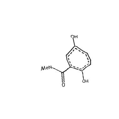 CNC(=O)c1cc(O)ccc1O